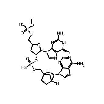 COP(=O)(S)OC[C@@H]1C[C@@H](OP(=O)(S)OC[C@]23CC[C@H](C2)[C@H](n2cnc4c(N)ncnc42)O3)[C@H](n2cnc3c(=O)[nH]c(N)nc32)O1